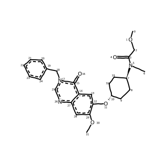 COCC(=O)N(C)[C@H]1CC[C@H](Oc2cc3c(=O)n(Cc4ccccc4)cnc3cc2OC)CC1